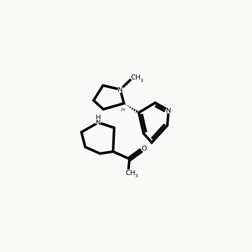 CC(=O)C1CCCNC1.CN1CCC[C@H]1c1cccnc1